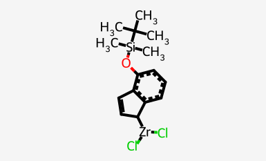 CC(C)(C)[Si](C)(C)Oc1cccc2c1C=C[CH]2[Zr]([Cl])[Cl]